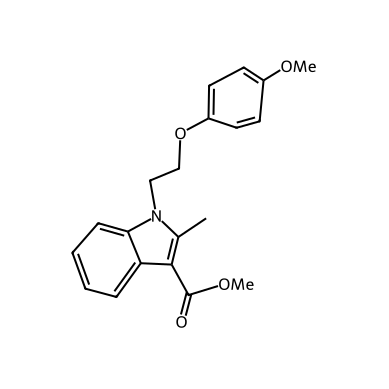 COC(=O)c1c(C)n(CCOc2ccc(OC)cc2)c2ccccc12